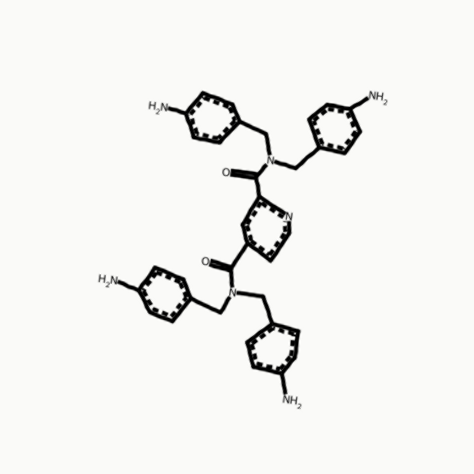 Nc1ccc(CN(Cc2ccc(N)cc2)C(=O)c2ccnc(C(=O)N(Cc3ccc(N)cc3)Cc3ccc(N)cc3)c2)cc1